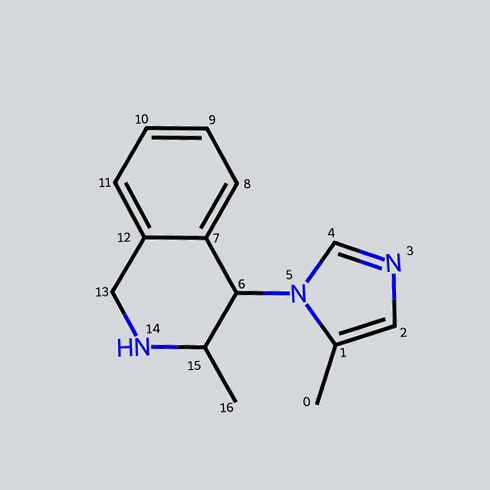 Cc1cncn1C1c2ccccc2CNC1C